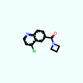 O=C(c1ccc2nccc(Br)c2c1)N1CCC1